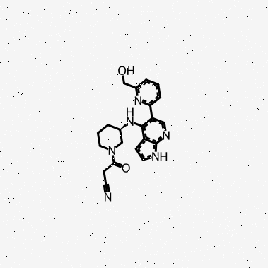 N#CCC(=O)N1CCC[C@@H](Nc2c(-c3cccc(CO)n3)cnc3[nH]ccc23)C1